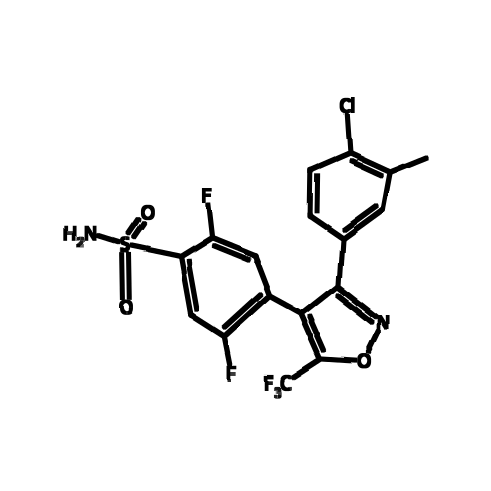 Cc1cc(-c2noc(C(F)(F)F)c2-c2cc(F)c(S(N)(=O)=O)cc2F)ccc1Cl